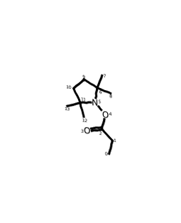 CCC(=O)ON1C(C)(C)[CH]CC1(C)C